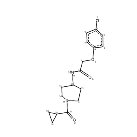 O=C(COc1ccc(Cl)cc1)NC1CCN(C(=O)C2CC2)CC1